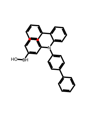 OBc1cccc(N(c2ccc(-c3ccccc3)cc2)c2ccccc2-c2ccccc2)c1